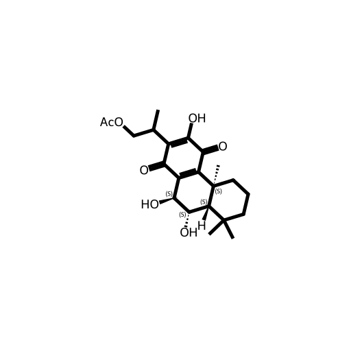 CC(=O)OCC(C)C1=C(O)C(=O)C2=C(C1=O)[C@H](O)[C@@H](O)[C@H]1C(C)(C)CCC[C@]21C